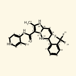 CC1=C(C(=O)NC2=CCNC=C2F)N2NC(c3ccccc3C(F)(F)F)C=CC2N1